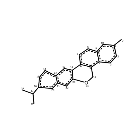 Cc1ccc2c3c(ccc2c1)-c1cc2ccc(C(C)C)cc2cc1OC3